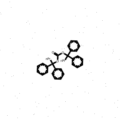 CCCC(OC(=O)OC(CCC)(c1ccccc1)c1ccccc1)(c1ccccc1)c1ccccc1